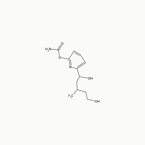 NC(=O)Oc1cccc(C(O)CC(CCO)C(F)(F)F)n1